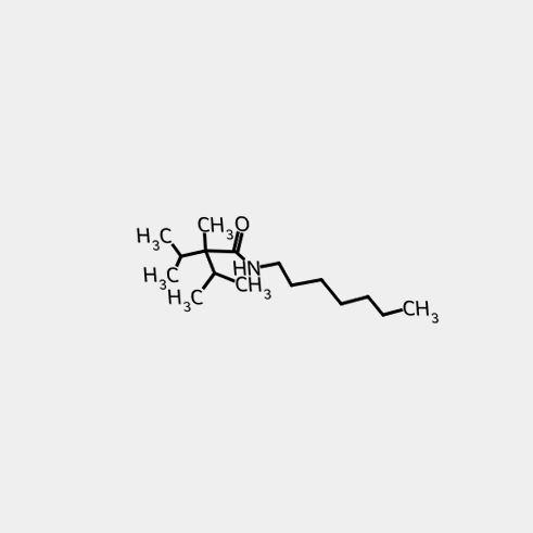 CCCCCCCNC(=O)C(C)(C(C)C)C(C)C